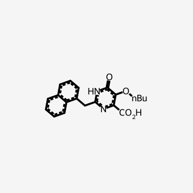 CCCCOc1c(C(=O)O)nc(Cc2cccc3ccccc23)[nH]c1=O